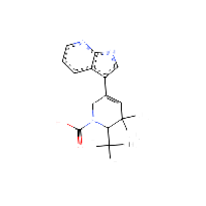 CC(C)(C)C1N(C(=O)O)CC(c2c[nH]c3ncccc23)=CC1(C)C